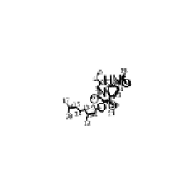 CCCCn1c(=O)c(OCC=C(C)CCC=C(C)C)c(OC)c2ccc(NC(C)=O)cc21